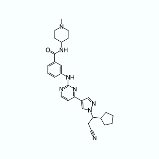 CN1CCC(NC(=O)c2cccc(Nc3nccc(-c4cnn(C(CC#N)C5CCCC5)c4)n3)c2)CC1